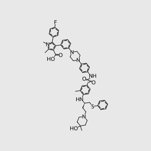 Cc1cc(S(=O)(=O)Nc2ccc(N3CCN(c4cccc(-c5c(C(=O)O)c(C)n(C)c5-c5ccc(F)cc5)c4)CC3)cc2)ccc1N[C@H](CCN1CCC(C)(O)CC1)CSc1ccccc1